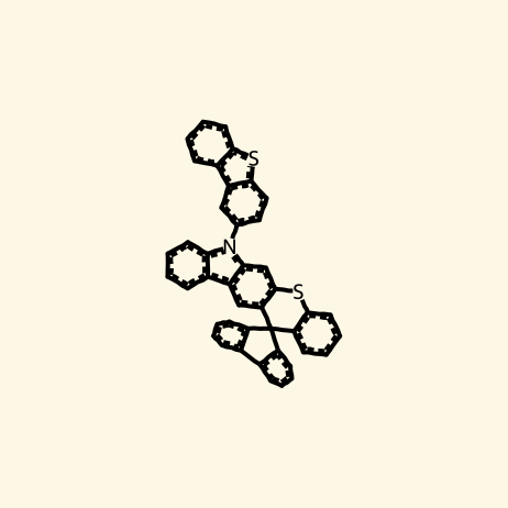 c1ccc2c(c1)Sc1cc3c(cc1C21c2ccccc2-c2ccccc21)c1ccccc1n3-c1ccc2sc3ccccc3c2c1